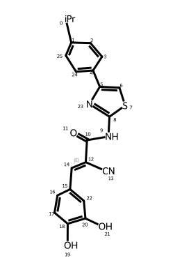 CC(C)c1ccc(-c2csc(NC(=O)/C(C#N)=C/c3ccc(O)c(O)c3)n2)cc1